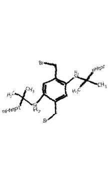 CCCCCCCC(C)(C)[SiH2]c1cc(CBr)c([SiH2]C(C)(C)CCCCCCC)cc1CBr